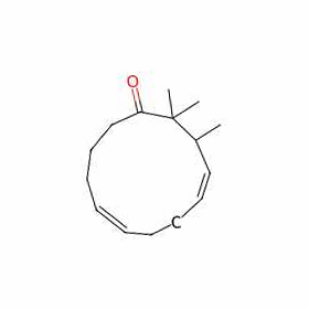 CC1C=CCCC=CCCCC(=O)C1(C)C